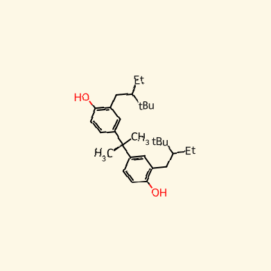 CCC(Cc1cc(C(C)(C)c2ccc(O)c(CC(CC)C(C)(C)C)c2)ccc1O)C(C)(C)C